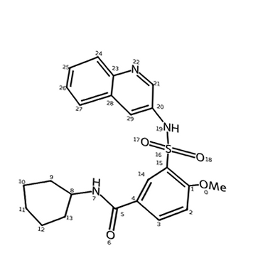 COc1ccc(C(=O)NC2CCCCC2)cc1S(=O)(=O)Nc1cnc2ccccc2c1